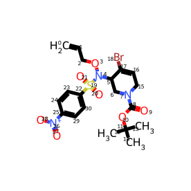 C=CCON(C1CN(C(=O)OC(C)(C)C)CC=C1Br)S(=O)(=O)c1ccc([N+](=O)[O-])cc1